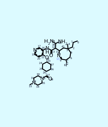 CCCC1(C)CCC(F)/C=N\C(C(C(=O)Nc2cnccc2O[C@H]2CC[C@@H](C(=O)N3CCN(C)CC3)CC2)C(N)N)C1